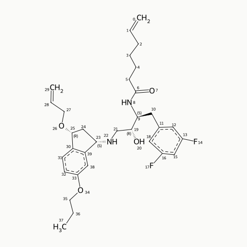 C=CCCCCC(=O)N[C@@H](Cc1cc(F)cc(F)c1)[C@H](O)CN[C@H]1C[C@@H](OCC=C)c2ccc(OCCC)cc21